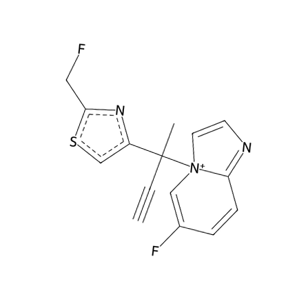 C#CC(C)(c1csc(CF)n1)[N+]12C=CN=C1C=CC(F)=C2